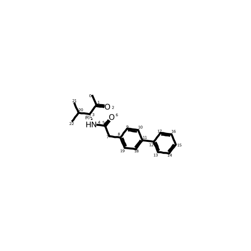 CC(=O)[C@H](NC(=O)Cc1ccc(-c2ccccc2)cc1)C(C)C